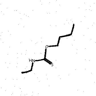 CCC[CH]OC(=S)NCC